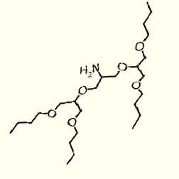 CCCCOCC(COCCCC)OCC(N)COC(COCCCC)COCCCC